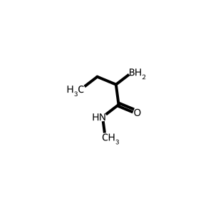 BC(CC)C(=O)NC